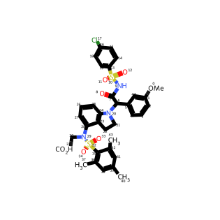 COc1cccc(C(C(=O)NS(=O)(=O)c2ccc(Cl)cc2)N2CCc3c2cccc3N(CC(=O)O)S(=O)(=O)c2c(C)cc(C)cc2C)c1